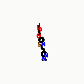 CN(C)c1ccc(/C=C/c2nc3ccc(OCCOSI)cc3s2)cn1